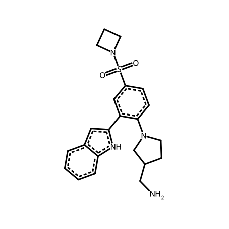 NCC1CCN(c2ccc(S(=O)(=O)N3CCC3)cc2-c2cc3ccccc3[nH]2)C1